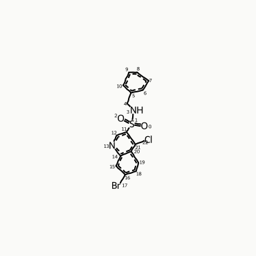 O=S(=O)(NCc1ccccc1)c1cnc2cc(Br)ccc2c1Cl